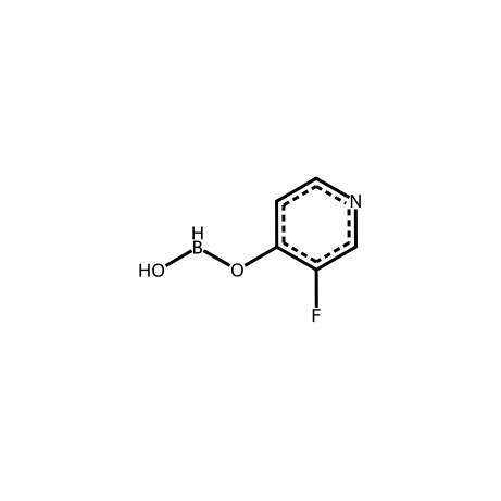 OBOc1ccncc1F